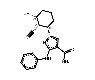 N#C[C@@H]1[C@H](O)CCC[C@@H]1n1cc(C(N)=O)c(Nc2ccccc2)n1